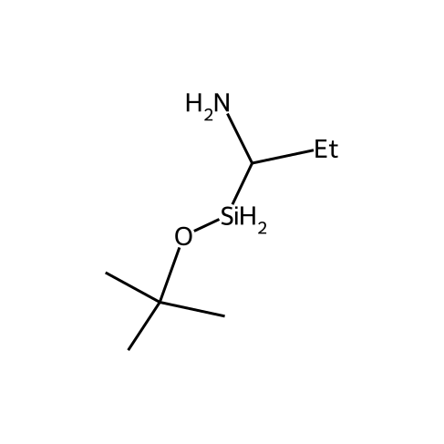 CCC(N)[SiH2]OC(C)(C)C